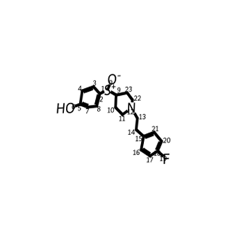 [O-][S+](c1ccc(O)cc1)C1CCN(CCc2ccc(F)cc2)CC1